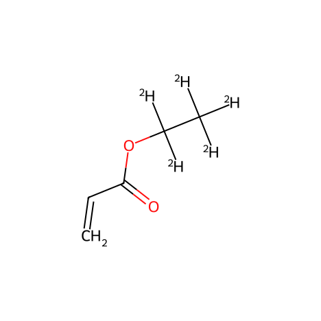 [2H]C([2H])([2H])C([2H])([2H])OC(=O)C=C